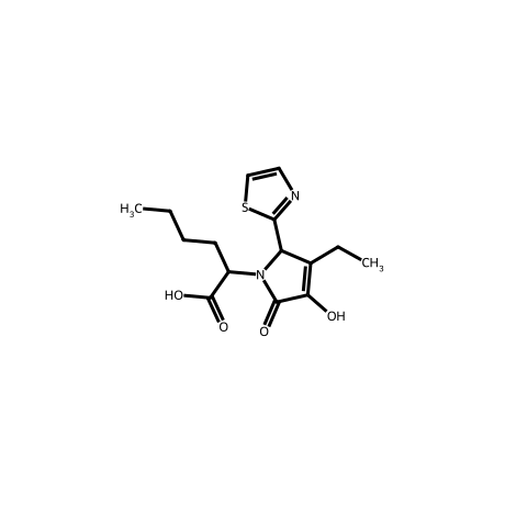 CCCCC(C(=O)O)N1C(=O)C(O)=C(CC)C1c1nccs1